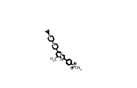 Cc1cc(C2CCN(C3CCN(C4CC4)CC3)CC2)cn2cc(-c3ccc(S(C)(=O)=O)cc3)nc12